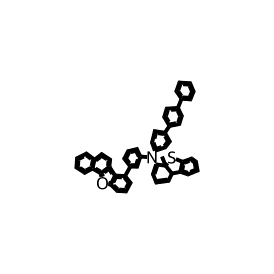 CC12Sc3ccccc3C1C=CC=C2N(c1ccc(-c2ccc(-c3ccccc3)cc2)cc1)c1cccc(-c2cccc3oc4c5ccccc5ccc4c23)c1